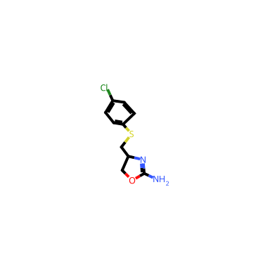 NC1=NC(CSc2ccc(Cl)cc2)CO1